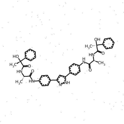 C[C@H](NC(=O)[C@](C)(O)c1ccccc1)C(=O)Nc1ccc(-c2cc(-c3ccc(NC(=O)[C@H](C)NC(=O)[C@@](C)(O)c4ccccc4)cc3)[nH]n2)cc1